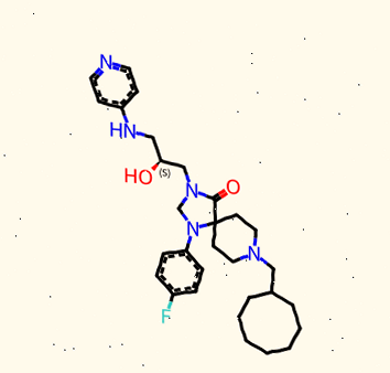 O=C1N(C[C@@H](O)CNc2ccncc2)CN(c2ccc(F)cc2)C12CCN(CC1CCCCCCC1)CC2